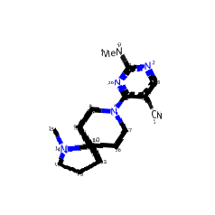 CNc1ncc(C#N)c(N2CCC3(CCCN3C)CC2)n1